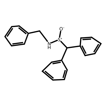 [O-][S+](NCc1ccccc1)C(c1ccccc1)c1ccccc1